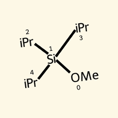 [CH2]O[Si](C(C)C)(C(C)C)C(C)C